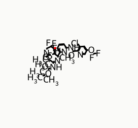 CC(C)(C)OC(=O)NC1=N[C@](C)(c2nc(NC(=O)c3ncc(OC(F)F)cc3Cl)ccc2F)[C@H]2CC(F)(F)CN=[S@]2(=O)C1(C)C